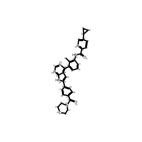 Cc1c(NC(=O)c2ccc(C3CC3)cn2)cccc1-c1ncnc2[nH]c(-c3ccc(C(=O)N4CCOCC4)cc3)cc12